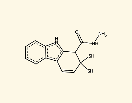 NNC(=O)C1c2[nH]c3ccccc3c2C=CC1(S)S